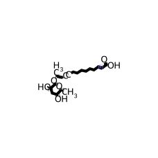 C[C@H](CCCCCCCCC/C=C/C(=O)O)O[C@@H]1O[C@@H](C)[C@H](O)C[C@H]1O